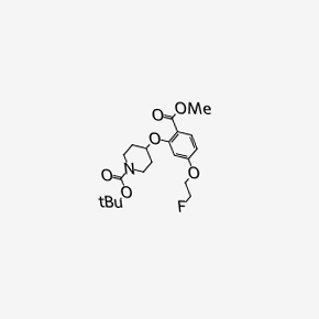 COC(=O)c1ccc(OCCF)cc1OC1CCN(C(=O)OC(C)(C)C)CC1